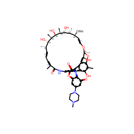 CO[C@H]1/C=C/O[C@@]2(C)Oc3c(C)c(O)c4c(=O)c(c5oc6cc(N7CCN(C)CC7)cc(=O)c6nc5c4c3=C2O)NC(=O)/C(C)=C\C=C\[C@H](C)[C@H](O)[C@@H](C)[C@@H](O)[C@@H](C)[C@H](O)[C@@H]1C